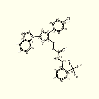 O=C(CCc1oc(-n2cnc3ccccc32)nc1-c1ccc(Cl)cc1)NCc1ccccc1C(F)(F)F